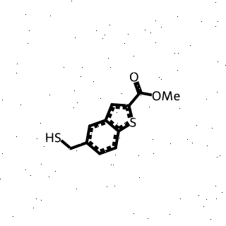 COC(=O)c1cc2cc(CS)ccc2s1